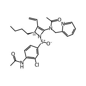 C=CC1=C(N(Cc2ccccn2)C(C)=O)N([S+]([O-])c2ccc(NC(C)=O)c(Cl)c2)[C@H]1CCCC